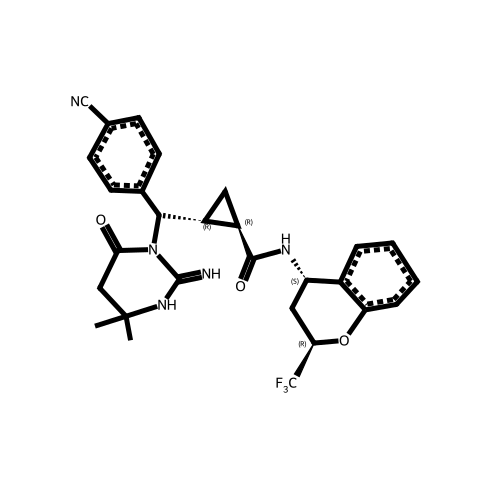 CC1(C)CC(=O)N(C(c2ccc(C#N)cc2)[C@@H]2C[C@H]2C(=O)N[C@H]2C[C@H](C(F)(F)F)Oc3ccccc32)C(=N)N1